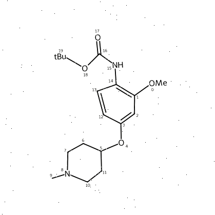 COc1cc(OC2CCN(C)CC2)ccc1NC(=O)OC(C)(C)C